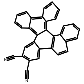 N#Cc1cc2c3ccc4ccccc4c3c3c4ccccc4c4ccccc4c3c2cc1C#N